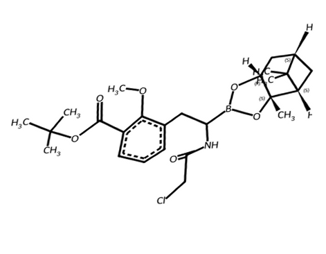 COc1c(CC(NC(=O)CCl)B2O[C@@H]3C[C@@H]4C[C@@H](C4(C)C)[C@]3(C)O2)cccc1C(=O)OC(C)(C)C